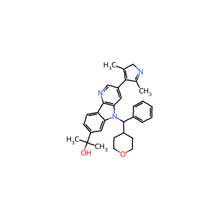 CC1=NCC(C)=C1c1cnc2c3ccc(C(C)(C)O)cc3n(C(c3ccccc3)C3CCOCC3)c2c1